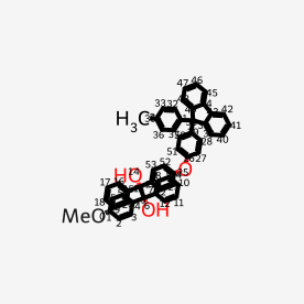 COc1ccc(C(O)(c2ccccc2)C(O)(c2ccccc2)c2ccc(Oc3ccc(C4(c5ccc(C)cc5)c5ccccc5-c5ccccc54)cc3)cc2)cc1